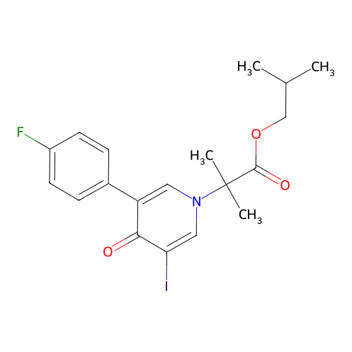 CC(C)COC(=O)C(C)(C)n1cc(I)c(=O)c(-c2ccc(F)cc2)c1